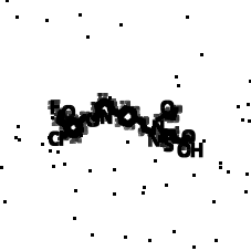 O=C(O)c1cc2c(nc(CCC3CC=C(c4cccc(OCc5ccc(Cl)c6cc(F)oc56)n4)CC3)n2C[C@@H]2CCO2)s1